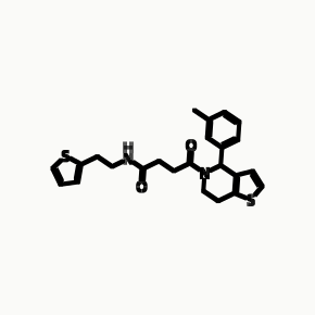 Cc1cccc(C2c3ccsc3CCN2C(=O)CCC(=O)NCCc2cccs2)c1